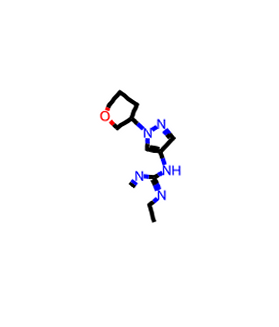 C=N/C(=N\CC)Nc1cnn(C2CCCOC2)c1